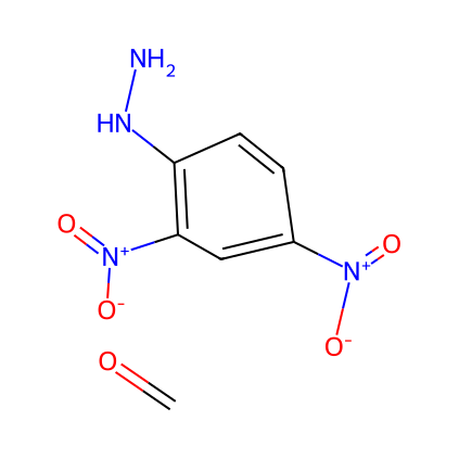 C=O.NNc1ccc([N+](=O)[O-])cc1[N+](=O)[O-]